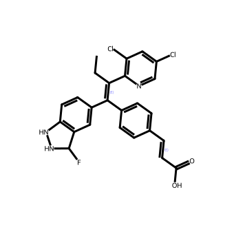 CC/C(=C(/c1ccc(/C=C/C(=O)O)cc1)c1ccc2c(c1)C(F)NN2)c1ncc(Cl)cc1Cl